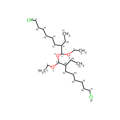 CCOC(OC(OCC)C(CC)CCCCCCCl)C(CC)CCCCCCCl